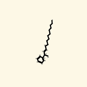 CCCCCCCCCCCC=CC(C)c1ccccc1